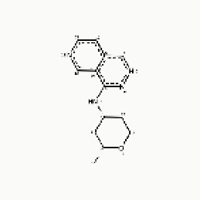 C[C@@H]1C[C@H](Nc2nncc3ccncc23)CCO1